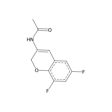 CC(=O)NC1=Cc2cc(F)cc(F)c2OC1